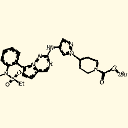 CCS(=O)(=O)N(C)c1ccccc1-c1ccc2cnc(Nc3cnn(C4CCN(C(=O)OC(C)(C)C)CC4)c3)nn12